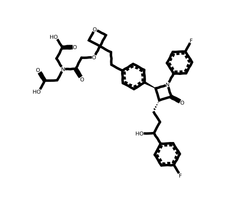 O=C(O)CN(CC(=O)O)C(=O)COC1(CCc2ccc([C@@H]3[C@@H](CCC(O)c4ccc(F)cc4)C(=O)N3c3ccc(F)cc3)cc2)COC1